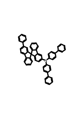 c1ccc(-c2ccc(N(c3ccc(-c4ccccc4)cc3)c3ccc4c(c3)-c3ccccc3C43c4ccccc4-c4ccc(-c5ccccc5)cc43)cc2)cc1